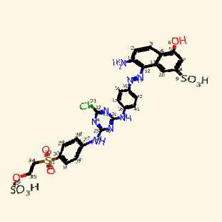 Nc1ccc2c(O)cc(S(=O)(=O)O)cc2c1N=Nc1ccc(Nc2nc(Cl)nc(Nc3ccc(S(=O)(=O)CCOS(=O)(=O)O)cc3)n2)cc1